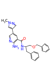 Cn1cc(-c2cnc(N)c(C(=O)NC(COCc3ccccc3)Cc3ccccc3)c2)cn1